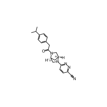 CC(C)c1ccc(CC(=O)N2C[C@H]3C[C@H]2CN3c2ccc(C#N)nn2)cc1